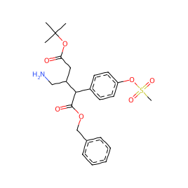 CC(C)(C)OC(=O)CC(CN)C(C(=O)OCc1ccccc1)c1ccc(OS(C)(=O)=O)cc1